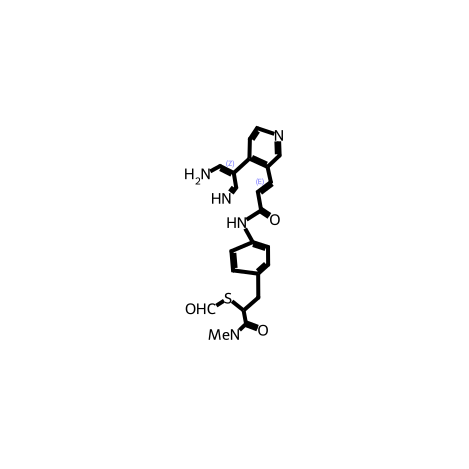 CNC(=O)C(Cc1ccc(NC(=O)/C=C/c2cnccc2/C(C=N)=C/N)cc1)SC=O